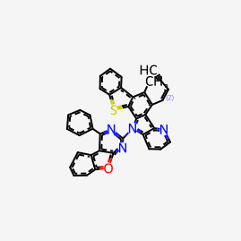 C#C/C=C\c1c(C)c2c3ccccc3sc2c2c1c1ncccc1n2-c1nc(-c2ccccc2)c2c(n1)oc1ccccc12